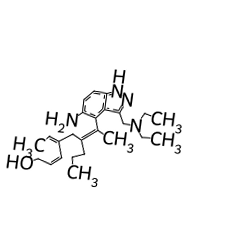 C/C=C(\C=C/CO)C/C(CCC)=C(/C)c1c(N)ccc2[nH]nc(CN(CC)CC)c12